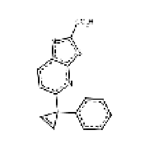 O=C(O)c1nc2ccc(C3(c4ccccc4)C=C3)nc2s1